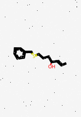 C/C=C/[C@@H](O)CCCSCc1ccccc1